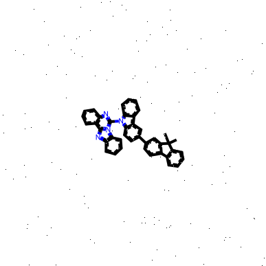 CC1(C)c2ccccc2-c2ccc(-c3ccc4c(c3)c3ccccc3n4-c3nc4ccccc4c4nc5ccccc5n34)cc21